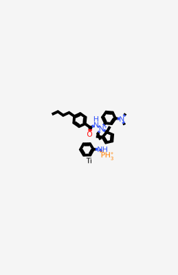 CCCCc1ccc(C(=O)N[N+](CC)(c2cccc(N(C)C)c2)C2(C)C=CC=C2C)cc1.[PH3+]Nc1ccccc1.[Ti]